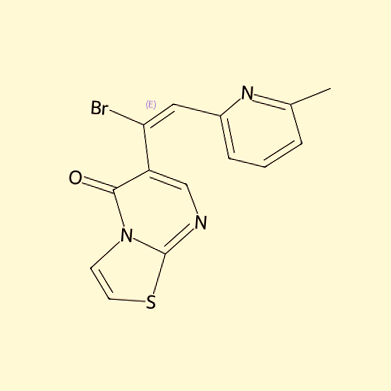 Cc1cccc(/C=C(/Br)c2cnc3sccn3c2=O)n1